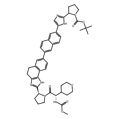 COC(=O)N[C@H](C(=O)N1CCC[C@H]1c1nc2c([nH]1)-c1ccc(-c3ccc4cc(-c5cnc(C6CCCN6C(=O)OC(C)(C)C)[nH]5)ccc4c3)cc1CC2)C1CCOCC1